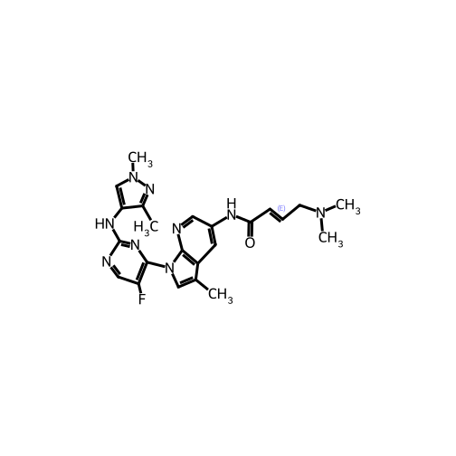 Cc1nn(C)cc1Nc1ncc(F)c(-n2cc(C)c3cc(NC(=O)/C=C/CN(C)C)cnc32)n1